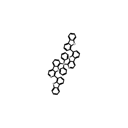 c1ccc([Si](c2ccccc2)(c2cccc3c2oc2c(-c4cccc5c4sc4ccccc45)nccc23)c2nccc3c2oc2c(-c4cccc5c4oc4ccccc45)cccc23)cc1